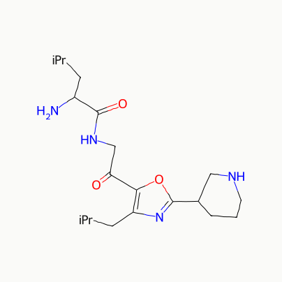 CC(C)Cc1nc(C2CCCNC2)oc1C(=O)CNC(=O)C(N)CC(C)C